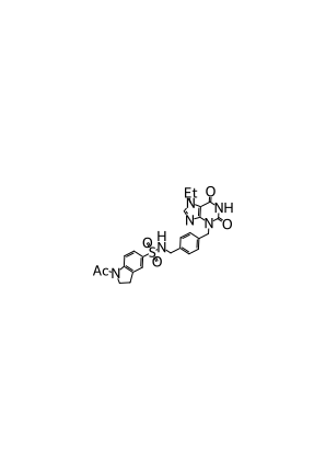 CCn1cnc2c1c(=O)[nH]c(=O)n2Cc1ccc(CNS(=O)(=O)c2ccc3c(c2)CCN3C(C)=O)cc1